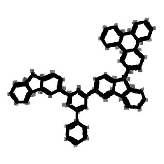 c1ccc(-c2cc(-c3ccc4c(c3)c3ccccc3n4-c3ccc4c5ccccc5c5ccccc5c4c3)nc(-c3ccc4sc5ccccc5c4c3)n2)cc1